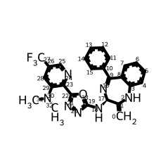 C=C1Nc2ccccc2C(c2ccccc2)=N[C@@H]1Nc1nnc(-c2ncc(C(F)(F)F)cc2N(C)C)o1